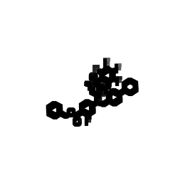 CN(CC(=O)N(Cc1ccc(C2CCCCC2)cc1)c1ccc(C(=O)OCc2ccccc2)c(F)c1)S(=O)(=O)c1c(F)c(F)c(F)c(F)c1F